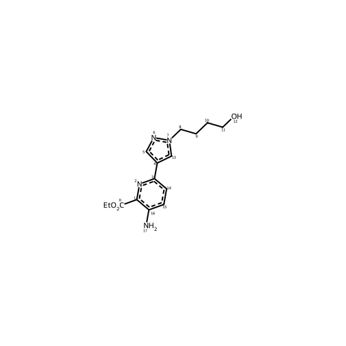 CCOC(=O)c1nc(-c2cnn(CCCCO)c2)ccc1N